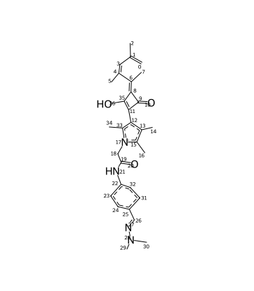 C=C(C)/C=C(C)\C(C)=C1\C(=O)C(c2c(C)c(C)n(CC(=O)Nc3ccc(/C=N/N(C)C)cc3)c2C)=C1O